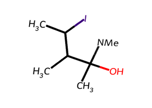 CNC(C)(O)C(C)C(C)I